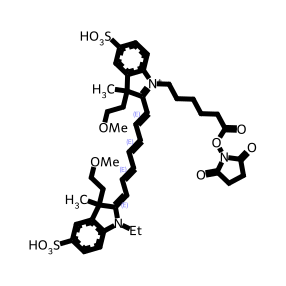 CCN1/C(=C/C=C/C=C/C=C/C2=[N+](CCCCCC(=O)ON3C(=O)CCC3=O)c3ccc(S(=O)(=O)O)cc3C2(C)CCOC)C(C)(CCOC)c2cc(S(=O)(=O)O)ccc21